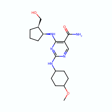 COC1CCC(Nc2ncc(C(N)=O)c(N[C@H]3CCC[C@H]3CO)n2)CC1